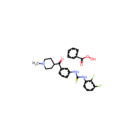 CN1CCC(C(=O)c2cccc(NC(=S)Nc3cccc(F)c3F)c2)CC1.O=C(OO)c1ccccc1